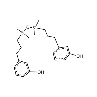 C[Si](C)(CCCc1cccc(O)c1)O[Si](C)(C)CCCc1cccc(O)c1